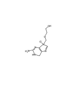 NC1=NC2=C(CN1)N=C[N+]2([O-])COCCO